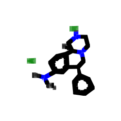 CCN(C)c1ccc2c(c1)[C@H](c1ccccc1)CN1CCNC[C@H]21.Cl.Cl